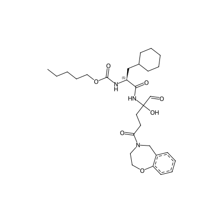 CCCCCOC(=O)N[C@@H](CC1CCCCC1)C(=O)NC(O)(C=O)CCC(=O)N1CCOc2ccccc2C1